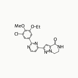 CCOc1cc(-c2nccc(-c3cc4n(n3)CCNC4=O)n2)cc(Cl)c1OC